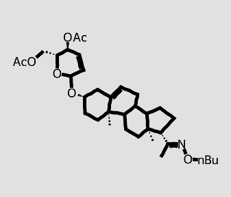 CCCCO/N=C(\C)[C@H]1CCC2C3CC=C4C[C@@H](OC5C=C[C@H](OC(C)=O)[C@@H](COC(C)=O)O5)CC[C@]4(C)C3CC[C@@]21C